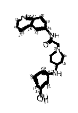 O=C(CN1CCC(Nc2cccc(O)c2)CC1)Nc1ccc2ncccc2c1